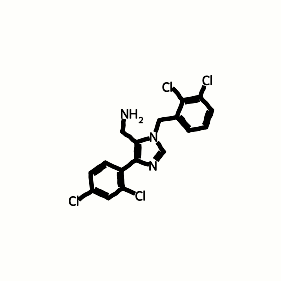 NCc1c(-c2ccc(Cl)cc2Cl)ncn1Cc1cccc(Cl)c1Cl